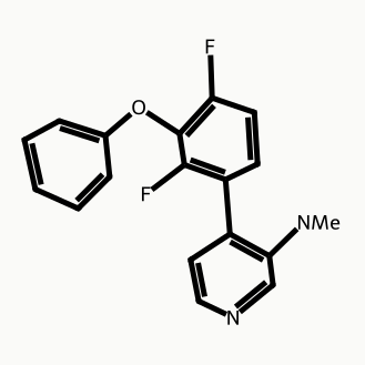 CNc1cnccc1-c1ccc(F)c(Oc2ccccc2)c1F